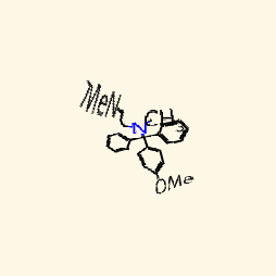 CNCCN(C)C(c1ccccc1)(c1ccccc1)c1ccc(OC)cc1